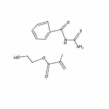 C=C(C)C(=O)OCCO.NC(=S)NC(=O)c1ccccc1